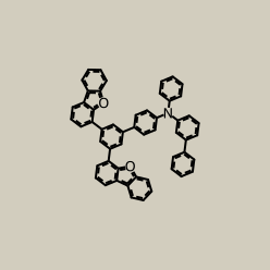 c1ccc(-c2cccc(N(c3ccccc3)c3ccc(-c4cc(-c5cccc6c5oc5ccccc56)cc(-c5cccc6c5oc5ccccc56)c4)cc3)c2)cc1